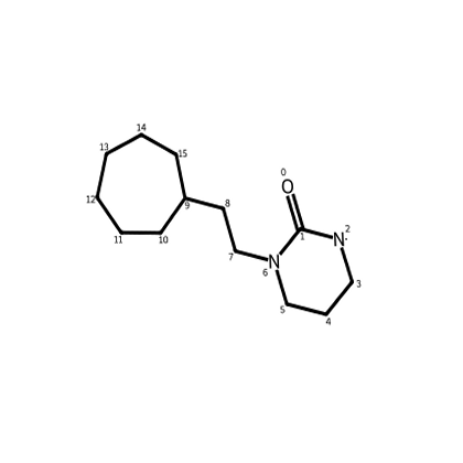 O=C1[N]CCCN1CCC1CCCCCC1